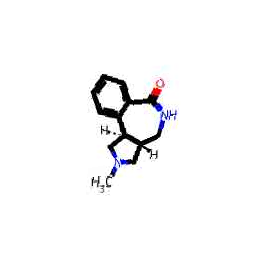 CN1C[C@H]2CNC(=O)c3ccccc3[C@@H]2C1